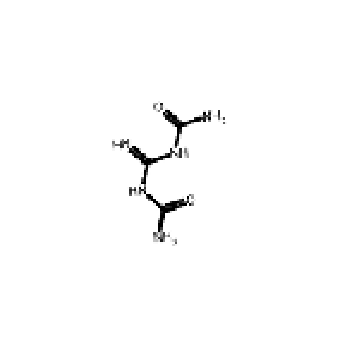 N=C(NC(N)=O)NC(N)=O